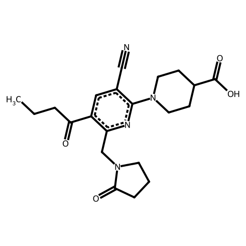 CCCC(=O)c1cc(C#N)c(N2CCC(C(=O)O)CC2)nc1CN1CCCC1=O